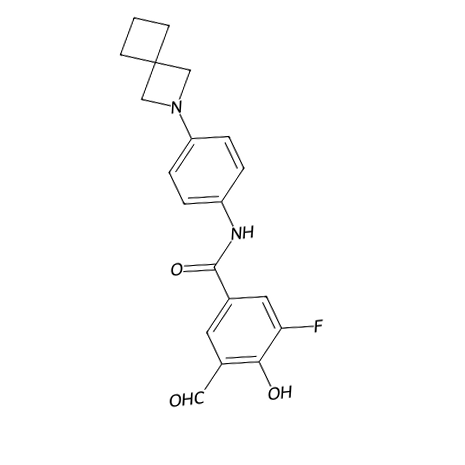 O=Cc1cc(C(=O)Nc2ccc(N3CC4(CCC4)C3)cc2)cc(F)c1O